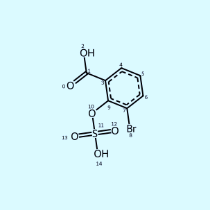 O=C(O)c1cccc(Br)c1OS(=O)(=O)O